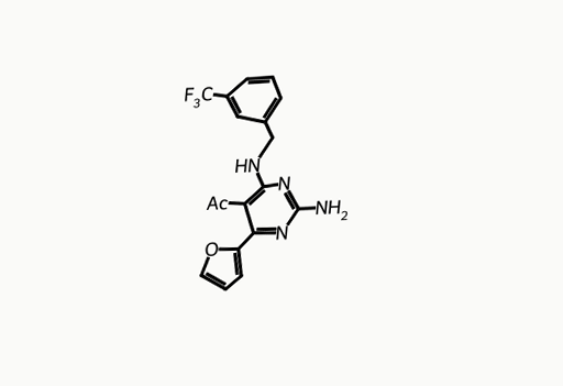 CC(=O)c1c(NCc2cccc(C(F)(F)F)c2)nc(N)nc1-c1ccco1